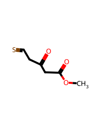 COC(=O)CC(=O)CC=S